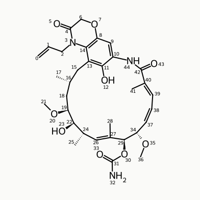 C=CCN1C(=O)COc2cc3c(O)c(c21)C[C@@H](C)C[C@H](OC)[C@H](O)[C@@H](C)/C=C(\C)[C@H](OC(N)=O)[C@@H](OC)/C=C\C=C(/C)C(=O)N3